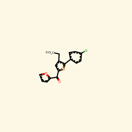 CCOC(=O)Cc1cc(C(=O)c2ccco2)sc1-c1ccc(Cl)cc1